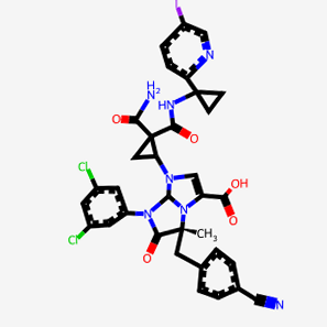 C[C@@]1(Cc2ccc(C#N)cc2)C(=O)N(c2cc(Cl)cc(Cl)c2)C2N(C3CC3(C(N)=O)C(=O)NC3(c4ccc(I)cn4)CC3)C=C(C(=O)O)N21